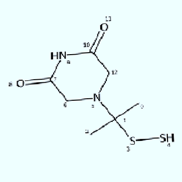 CC(C)(SS)N1CC(=O)NC(=O)C1